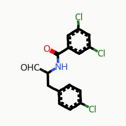 O=CC(Cc1ccc(Cl)cc1)NC(=O)c1cc(Cl)cc(Cl)c1